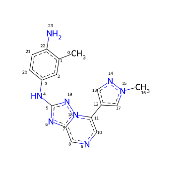 Cc1cc(Nc2nc3cncc(-c4cnn(C)c4)n3n2)ccc1N